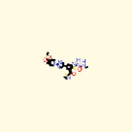 CCNC(=O)Nc1nc2cc(-c3cnc(N4CCC(C)(C(=O)OCC)CC4)nc3)cc(C(=O)c3nccs3)c2s1